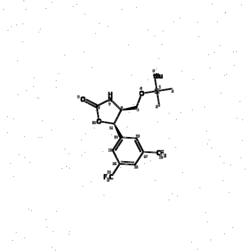 CC(C)(C)[Si](C)(C)OC[C@@H]1NC(=O)O[C@@H]1c1cc(C(F)(F)F)cc(C(F)(F)F)c1